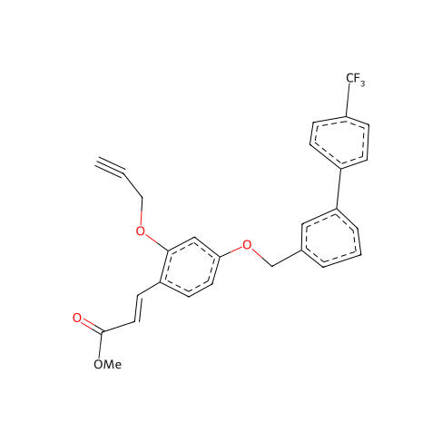 C#CCOc1cc(OCc2cccc(-c3ccc(C(F)(F)F)cc3)c2)ccc1C=CC(=O)OC